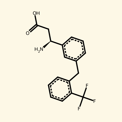 N[C@@H](CC(=O)O)c1cccc(Cc2ccccc2C(F)(F)F)c1